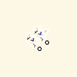 CC(Oc1ccccc1)C(=O)N[C@@H]1C(=O)N2[C@@H]1SC(C)(C)[C@@H]2C(=O)[O-].CC(Oc1ccccc1)C(=O)N[C@@H]1C(=O)N2[C@@H]1SC(C)(C)[C@@H]2C(=O)[O-].[K+].[K+]